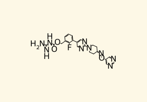 N=C(N)NC(=O)OCc1cccc(-c2cnc(N3CCC(=NOc4cncnc4)CC3)nc2)c1F